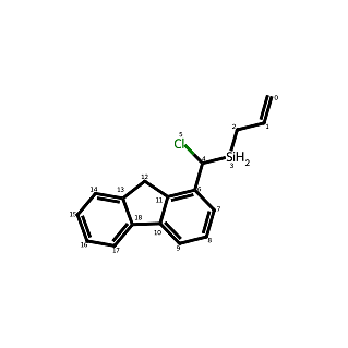 C=CC[SiH2]C(Cl)c1cccc2c1Cc1ccccc1-2